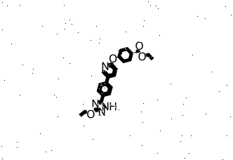 CCOc1n[nH]c(-c2ccc(-c3ccc(O[C@H]4CC[C@@H](C(=O)OCC)CC4)nc3)cc2)n1